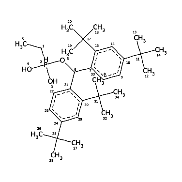 CC[PH](O)(O)OC(c1ccc(C(C)(C)C)cc1C(C)(C)C)c1ccc(C(C)(C)C)cc1C(C)(C)C